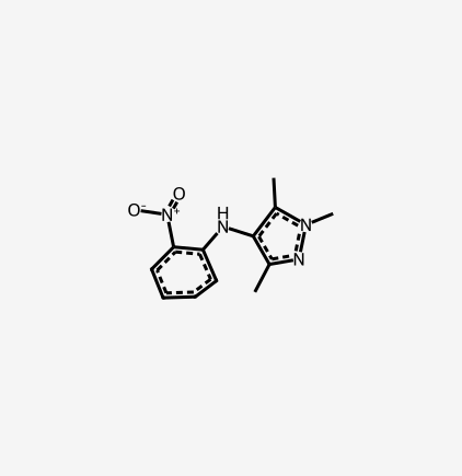 Cc1nn(C)c(C)c1Nc1ccccc1[N+](=O)[O-]